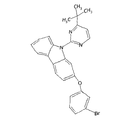 CC(C)(C)c1ccnc(-n2c3ccccc3c3ccc(Oc4cccc(Br)c4)cc32)n1